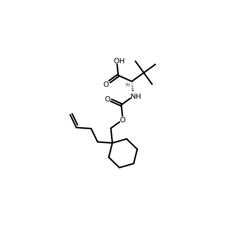 C=CCCC1(COC(=O)N[C@H](C(=O)O)C(C)(C)C)CCCCC1